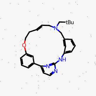 CC(C)(C)CN1C/C=C/CCOc2cccc(c2)-c2ccnc(n2)Nc2cccc(c2)C1